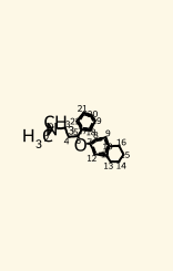 CN(C)CCC(Oc1ccc2c(c1)CCCC2)c1ccccc1